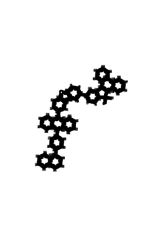 CC1(C)c2ccc(-c3ccc4oc5ccc(-c6c7ccccc7c(-c7ccc(-c8cccc9ccccc89)cc7)c7ccccc67)cc5c4c3)cc2-c2c1c1ccccc1c1ccccc21